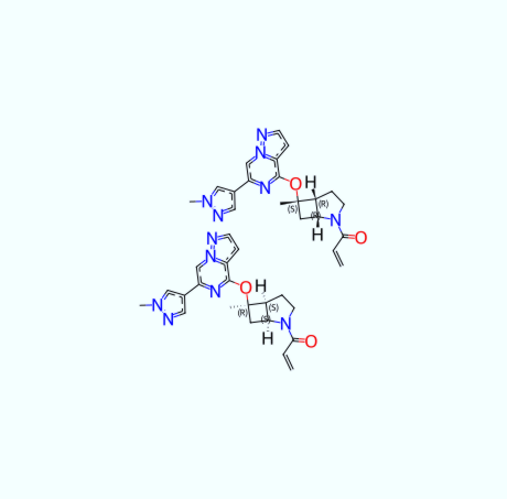 C=CC(=O)N1CC[C@@H]2[C@H]1C[C@]2(C)Oc1nc(-c2cnn(C)c2)cn2nccc12.C=CC(=O)N1CC[C@H]2[C@@H]1C[C@@]2(C)Oc1nc(-c2cnn(C)c2)cn2nccc12